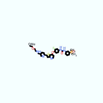 COCCOCCNCc1ccc(-c2cc3nccc(Oc4ccc(NC(=O)Nc5cccc(P(C)(C)=O)c5)cc4F)c3s2)nc1